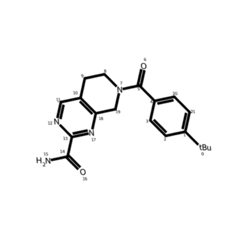 CC(C)(C)c1ccc(C(=O)N2CCc3[c]nc(C(N)=O)nc3C2)cc1